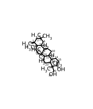 C=C1CC(C)(C)C[C@@H]2C3=CC[C@@H]4[C@@]5(C)CC[C@H](O)[C@@](C)(CO)C5CC[C@@]4(C)[C@]3(C)CC[C@@]12C